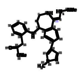 CNN/C=C1\NCCC(Nc2ccccc2CC(=O)OC)c2cc(-c3cnn(C)c3)ccc21